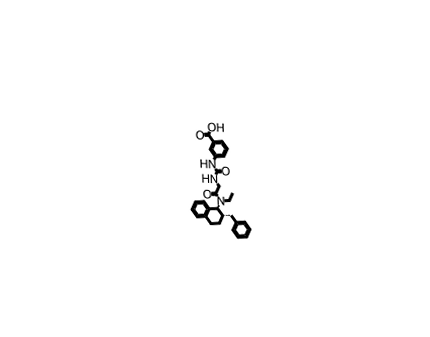 CCN(C(=O)CNC(=O)Nc1cccc(C(=O)O)c1)[C@@H]1c2ccccc2CC[C@H]1Cc1ccccc1